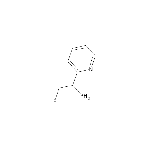 FCC(P)c1ccccn1